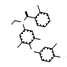 Cc1ccccc1C(=O)N(CC(=O)O)c1cc(Cl)c(Oc2ccc(O)c(C(C)C)c2)c(Cl)c1